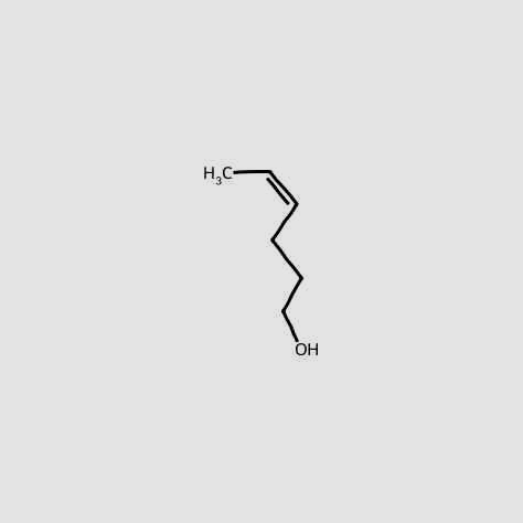 C/C=C\CCCO